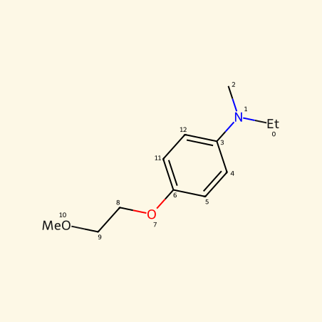 CCN(C)c1ccc(OCCOC)cc1